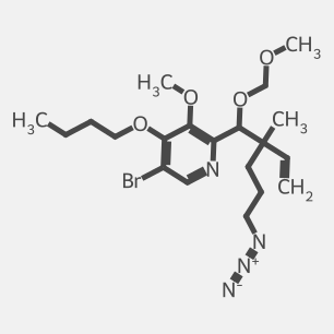 C=CC(C)(CCCN=[N+]=[N-])C(OCOC)c1ncc(Br)c(OCCCC)c1OC